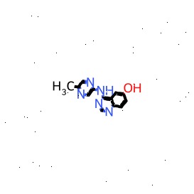 Cc1cnc(Nc2ncnc3ccc(O)cc23)cn1